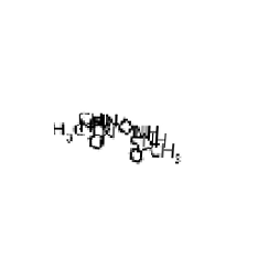 C[C@@H](NC(=S)NC1CCC(Nc2nc(N(C)C)c3ccccc3n2)CC1)c1ccccc1